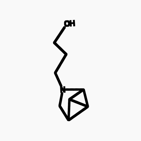 OCCCN1CC2C3C2C31